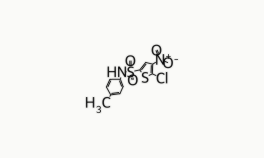 Cc1ccc(NS(=O)(=O)c2cc([N+](=O)[O-])c(Cl)s2)cc1